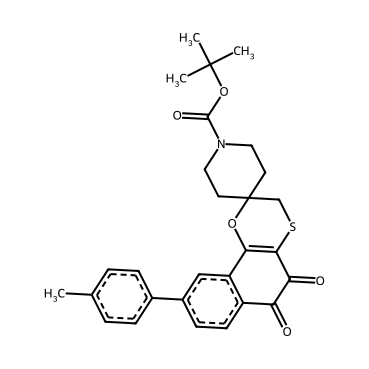 Cc1ccc(-c2ccc3c(c2)C2=C(SCC4(CCN(C(=O)OC(C)(C)C)CC4)O2)C(=O)C3=O)cc1